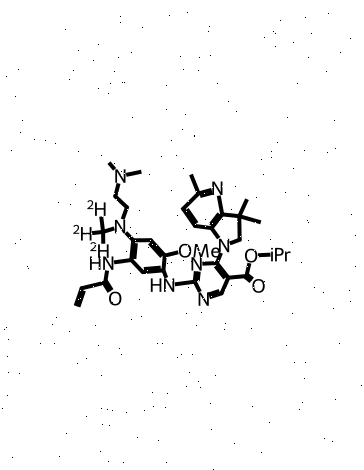 [2H]C([2H])([2H])N(CCN(C)C)c1cc(OC)c(Nc2ncc(C(=O)OC(C)C)c(N3CC(C)(C)c4nc(C)ccc43)n2)cc1NC(=O)C=C